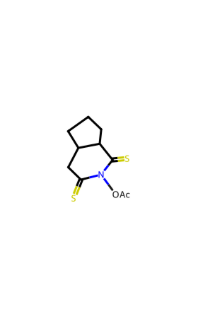 CC(=O)ON1C(=S)CC2CCCC2C1=S